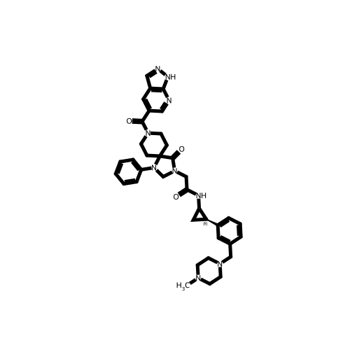 CN1CCN(Cc2cccc([C@H]3CC3NC(=O)CN3CN(c4ccccc4)C4(CCN(C(=O)c5cnc6[nH]ncc6c5)CC4)C3=O)c2)CC1